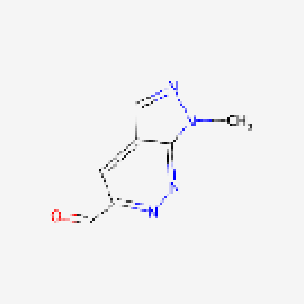 Cn1ncc2cc(C=O)nnc21